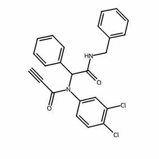 C#CC(=O)N(c1ccc(Cl)c(Cl)c1)C(C(=O)NCc1ccccc1)c1ccccc1